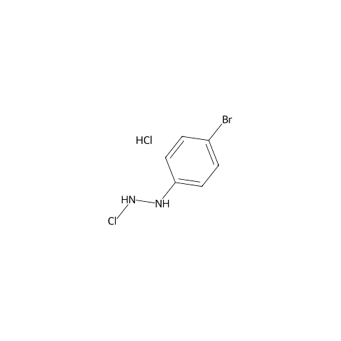 Cl.ClNNc1ccc(Br)cc1